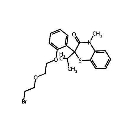 CC(C)C1(c2ccccc2OCCOCCBr)Sc2ccccc2N(C)C1=O